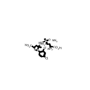 CC1(C(=O)O)CC(C(=O)O)=NN1c1ccc(Cl)cc1Cl.CP(=O)(O)CCC(N)C(=O)O.N